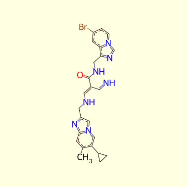 Cc1cc2nc(CN/C=C(\C=N)C(=O)NCc3ncn4ccc(Br)cc34)cn2cc1C1CC1